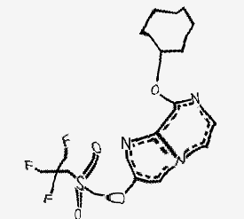 O=S(=O)(Oc1cn2ccnc(OC3CCCCC3)c2n1)C(F)(F)F